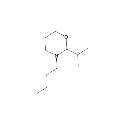 CCCCN1CCCOC1C(C)C